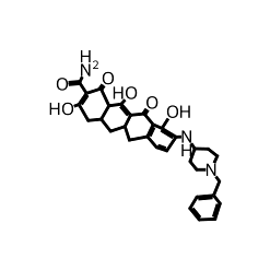 NC(=O)C1=C(O)CC2CC3Cc4ccc(NC5CCN(Cc6ccccc6)CC5)c(O)c4C(=O)C3=C(O)C2C1=O